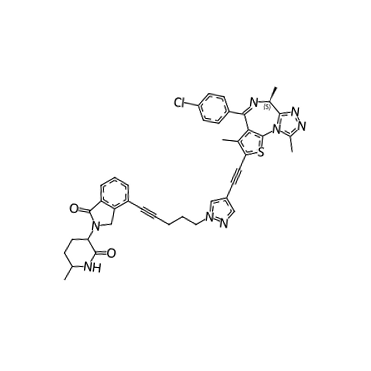 Cc1c(C#Cc2cnn(CCCC#Cc3cccc4c3CN(C3CCC(C)NC3=O)C4=O)c2)sc2c1C(c1ccc(Cl)cc1)=N[C@@H](C)c1nnc(C)n1-2